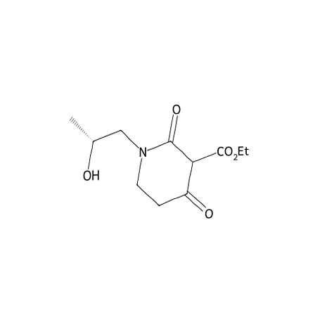 CCOC(=O)C1C(=O)CCN(C[C@@H](C)O)C1=O